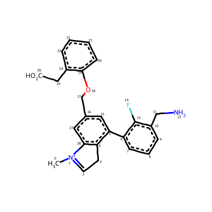 C[N+]1=CCc2c(-c3cccc(CN)c3F)cc(COc3ccccc3CC(=O)O)cc21